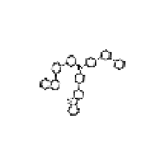 c1ccc(-c2cccc(-c3ccc(N(c4ccc(-c5ccc6c(c5)sc5ccccc56)cc4)c4cccc(-c5cccc(-c6cccc7ccccc67)c5)c4)cc3)c2)cc1